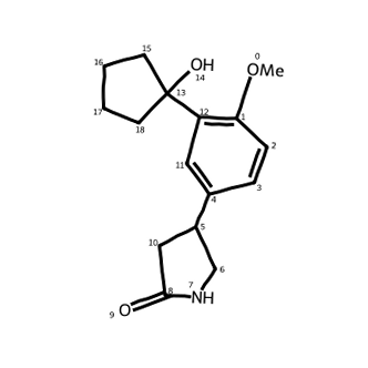 COc1ccc(C2CNC(=O)C2)cc1C1(O)CCCC1